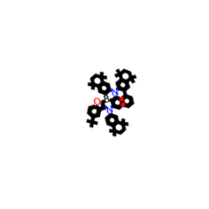 Cc1cc2c3c(c1)N(c1ccc4c(c1)C(C)(C)CCC4(C)C)c1c(oc4ccc(C(C)(C)C)cc14)B3c1cc3c(cc1N2c1cc2c(cc1-c1ccccc1)C(C)(C)CCC2(C)C)C(C)(C)CCC3(C)C